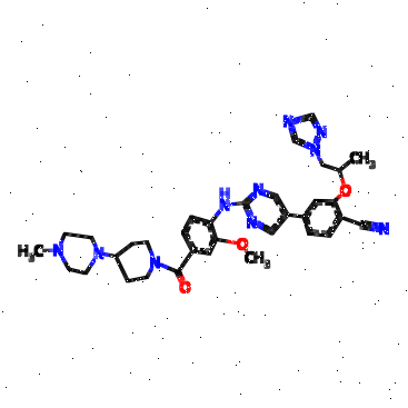 COc1cc(C(=O)N2CCC(N3CCN(C)CC3)CC2)ccc1Nc1ncc(-c2ccc(C#N)c(OC(C)Cn3cncn3)c2)cn1